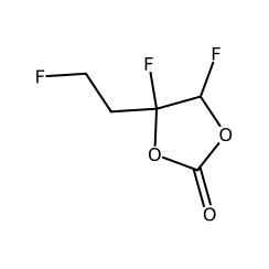 O=C1OC(F)C(F)(CCF)O1